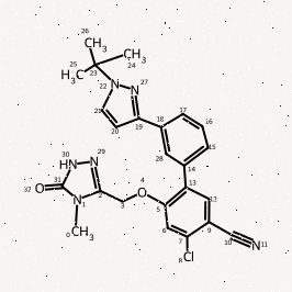 Cn1c(COc2cc(Cl)c(C#N)cc2-c2cccc(-c3ccn(C(C)(C)C)n3)c2)n[nH]c1=O